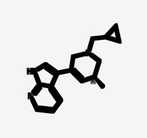 C[C@H]1C=C(c2c[nH]c3ncccc23)CN(CC2CC2)C1